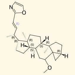 COC1C[C@H]2[C@@H]3CC[C@H]([C@H](C)/C=C/c4ncco4)[C@@]3(C)CC[C@@H]2[C@@]2(C)CC[C@@H]3CC132